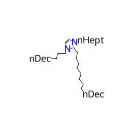 CCCCCCCCCCCCCCCCCCC1N(CCCCCCC)C=CN1CCCCCCCCCCCCC